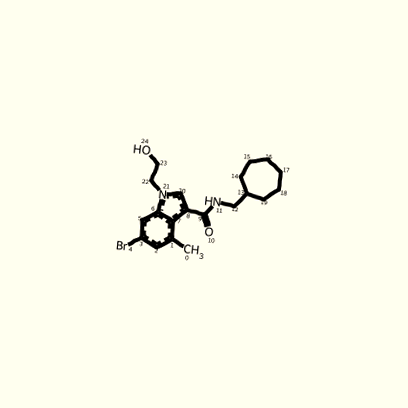 Cc1cc(Br)cc2c1c(C(=O)NCC1CCCCCC1)cn2CCO